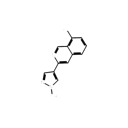 Cn1cc(-c2cc3cccc(Cl)c3cn2)cn1